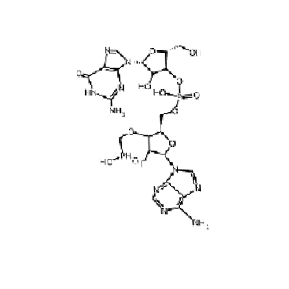 Nc1nc2c(ncn2[C@@H]2O[C@H](CO)C(OP(=O)(O)OC[C@H]3O[C@@H](n4cnc5c(N)ncnc54)C(F)C3OC[PH](=O)O)C2O)c(=O)[nH]1